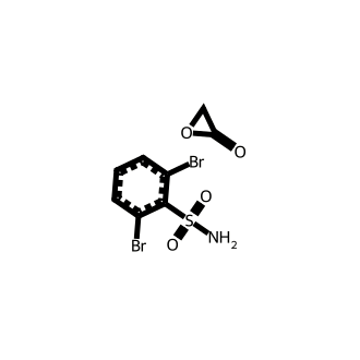 NS(=O)(=O)c1c(Br)cccc1Br.O=C1CO1